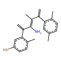 C=C(/C(C)=C(\N)C(=C)c1cc(S)ccc1C)c1cc(C)ccc1C